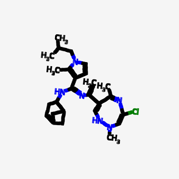 C=C(/N=C(/NC1CC=C2CC1C2)c1ccn(CC(C)C)c1C)c1c[nH]n(C)cc(Cl)nc1C